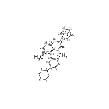 Cc1ccc(C2CCCCC2)cc1-c1c2ccc(C3CC4CCC3CC4)cc2cc[n+]1C